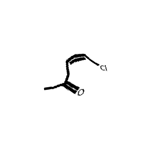 CC(=O)/C=C\Cl